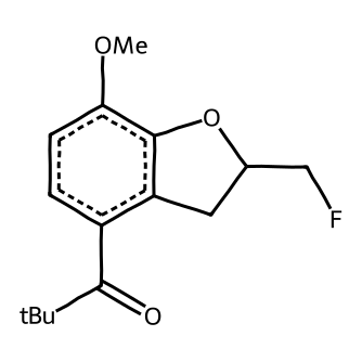 COc1ccc(C(=O)C(C)(C)C)c2c1OC(CF)C2